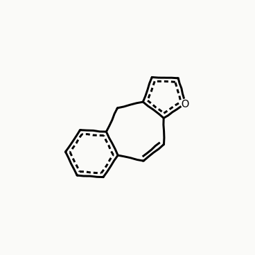 C1=Cc2occc2Cc2ccccc21